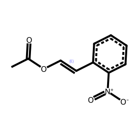 CC(=O)O/C=C/c1ccccc1[N+](=O)[O-]